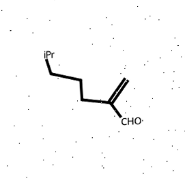 C=C([C]=O)CCCC(C)C